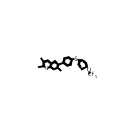 Cc1[c]c2cc(-c3ccc(Sc4ccc(OC(F)(F)F)cc4)cc3)c(C)cc2nc1C